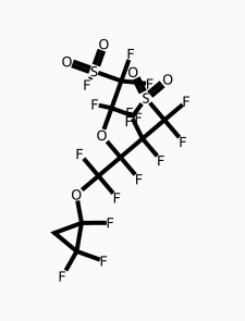 O=S(=O)(F)C(F)(F)C(F)(F)OC(F)(C(F)(F)OC1(F)CC1(F)F)C(F)(F)C(F)(F)S(=O)(=O)F